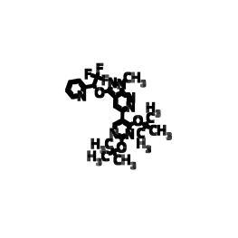 Cn1nc(OC(c2ccccn2)C(F)(F)F)c2cc(-c3cnc(OC(C)(C)C)nc3OC(C)(C)C)nnc21